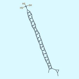 Cc1c(C2CC2C)c2c1c1c2c2c1c1c2c2c1c1c2c2c1c1c2c2c3c4c5c6c7c8c9c%10c%11c(c%10c9c8c7c6c5c4c3c12)[C@H]%11C(S)(S)S